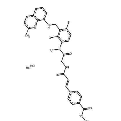 CNC(=O)c1ccc(C=CC(=O)NCC(=O)N(C)c2ccc(Cl)c(CNc3cccc4ccc(C)nc34)c2Cl)cc1.Cl.Cl